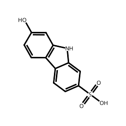 O=S(=O)(O)c1ccc2c(c1)[nH]c1cc(O)ccc12